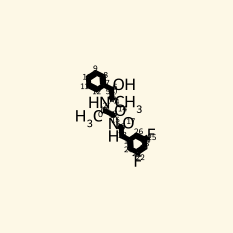 C[C@H](N[C@H](C)[C@H](O)c1ccccc1)C(=O)NC(=O)Cc1cc(F)cc(F)c1